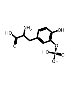 NC(Cc1ccc(O)c(OP(=O)(O)O)c1)C(=O)O